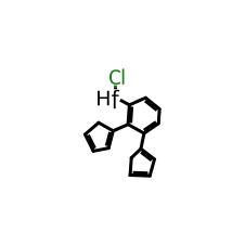 [Cl][Hf][c]1cccc(C2=CC=CC2)c1C1=CC=CC1